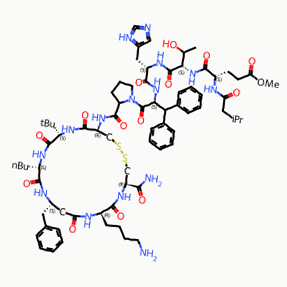 CCCC[C@@H]1NC(=O)[C@H](C(C)(C)C)NC(=O)[C@@H](NC(=O)C2CCCN2C(=O)[C@@H](NC(=O)[C@H](Cc2cnc[nH]2)NC(=O)[C@@H](NC(=O)[C@H](CCC(=O)OC)NC(=O)CC(C)C)C(C)O)C(c2ccccc2)c2ccccc2)CSSC[C@@H](C(N)=O)NC(=O)[C@@H](CCCCN)NC(=O)C[C@H](Cc2ccccc2)NC1=O